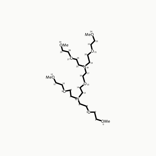 COCCOCCN(CCOCCOC)CCOCCN(CCOCCOC)CCOCCOC